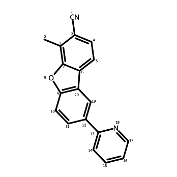 Cc1c(C#N)ccc2c1oc1ccc(-c3ccccn3)cc12